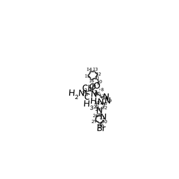 CC(C)(N)C(=O)N[C@H](COCc1ccccc1)c1nnc2n1CCN(c1ccc(Br)cn1)C2